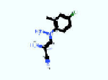 Cc1cc(Cl)ccc1N(N)/C=C(\N)C#N